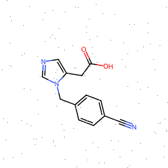 N#Cc1ccc(Cn2cncc2CC(=O)O)cc1